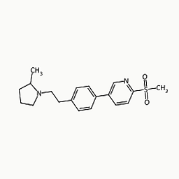 CC1CCCN1CCc1ccc(-c2ccc(S(C)(=O)=O)nc2)cc1